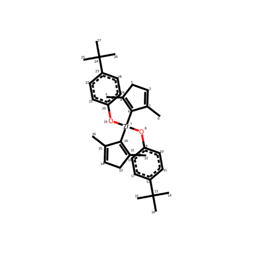 CC1=CCC(C)=[C]1[Zr]([O]c1ccc(C(C)(C)C)cc1)([O]c1ccc(C(C)(C)C)cc1)[C]1=C(C)CC=C1C